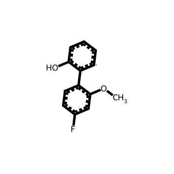 COc1cc(F)ccc1-c1[c]cccc1O